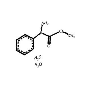 COC(=O)B(N)c1ccccc1.O.O